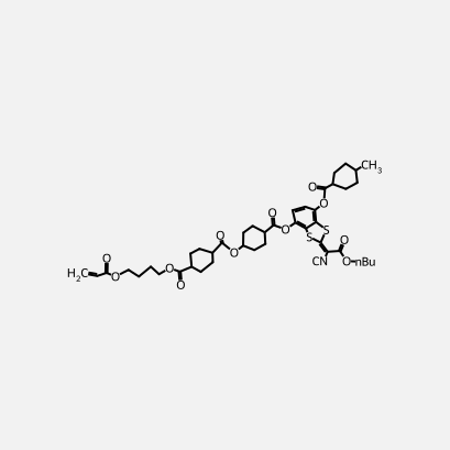 [C-]#[N+]/C(C(=O)OCCCC)=C1/Sc2c(OC(=O)C3CCC(C)CC3)ccc(OC(=O)C3CCC(OC(=O)C4CCC(C(=O)OCCCCOC(=O)C=C)CC4)CC3)c2S1